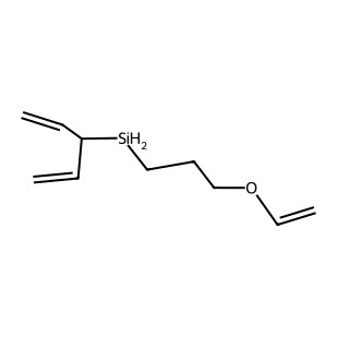 C=COCCC[SiH2]C(C=C)C=C